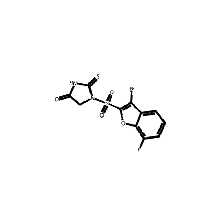 O=C1CN(S(=O)(=O)c2oc3c(F)cccc3c2Br)C(=S)N1